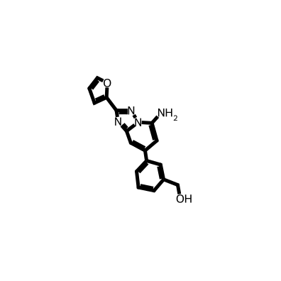 Nc1cc(-c2cccc(CO)c2)cc2nc(-c3ccco3)nn12